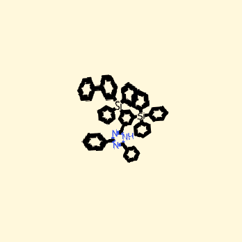 c1ccc(C2=NC(c3ccccc3)NC(c3cc([Si](c4ccccc4)(c4ccccc4)c4ccccc4)cc([Si](c4ccccc4)(c4ccccc4)c4cccc(-c5ccccc5)c4)c3)=N2)cc1